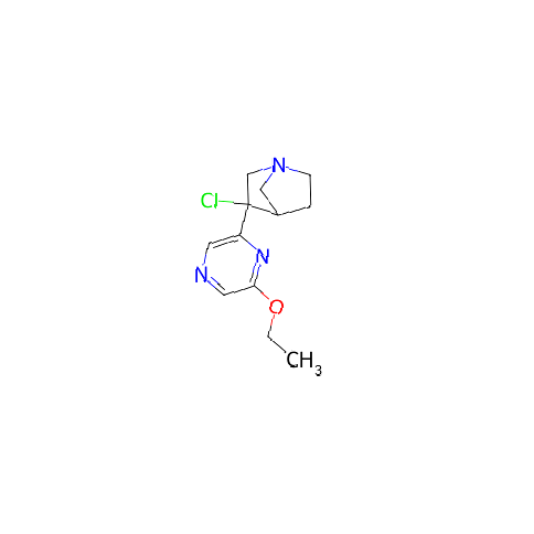 CCOc1cncc(C2(Cl)CN3CCC2C3)n1